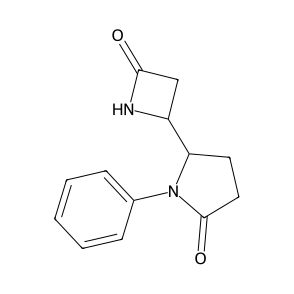 O=C1CC(C2CCC(=O)N2c2ccccc2)N1